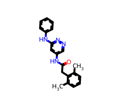 Cc1cccc(C)c1CC(=O)Nc1cnnc(Nc2ccccc2)c1